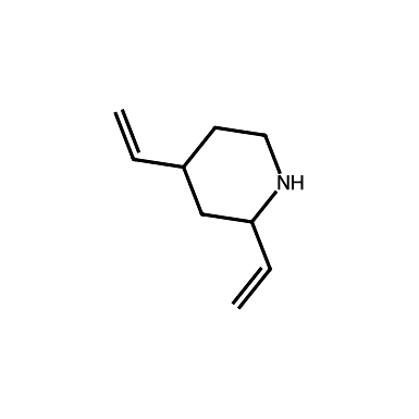 C=CC1CCNC(C=C)C1